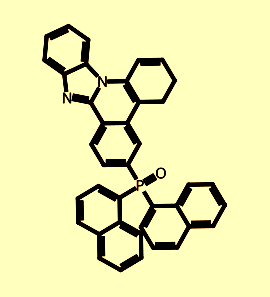 O=P(c1ccc2c(c1)c1c(n3c4ccccc4nc23)C=CCC1)(c1cccc2ccccc12)c1cccc2ccccc12